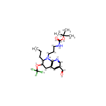 CCCC1C(OC(F)(F)F)Cc2cc(C=O)cnc2N1CCCNC(=O)OC(C)(C)C